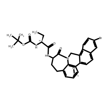 CC[C@H](NC(=O)OC(C)(C)C)C(=O)NC1CCc2ccccc2N(Cc2c(OC)ccc3cc(Br)ccc23)C1=O